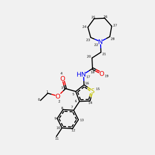 CCOC(=O)c1c(-c2ccc(C)cc2)csc1NC(=O)CCN1CCCCCC1